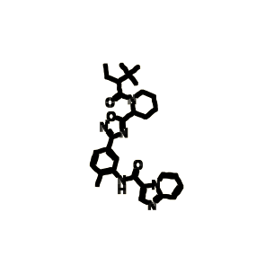 CCC(C(=O)N1CCCCC1c1nc(-c2ccc(C)c(NC(=O)c3cnc4ccccn34)c2)no1)C(C)(C)C